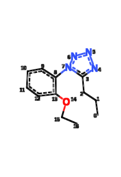 CCCc1nnnn1-c1ccccc1OCC